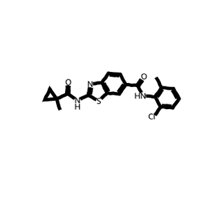 Cc1cccc(Cl)c1NC(=O)c1ccc2nc(NC(=O)C3(C)CC3)sc2c1